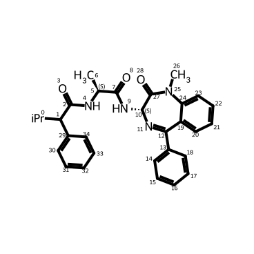 CC(C)C(C(=O)N[C@@H](C)C(=O)N[C@H]1N=C(c2ccccc2)c2ccccc2N(C)C1=O)c1ccccc1